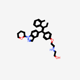 CCC(=C(c1ccc(OCCNCCO)cc1)c1ccc2c(cnn2C2CCCCO2)c1)c1ccccc1C